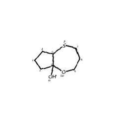 OC12CCCC1SCCCO2